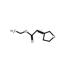 CCOC(=O)/C=C1\CCSC1